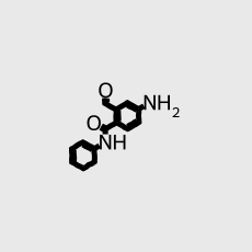 Nc1ccc(C(=O)NC2=CC=CCC2)c(C=O)c1